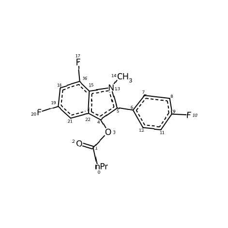 CCCC(=O)Oc1c(-c2ccc(F)cc2)n(C)c2c(F)cc(F)cc12